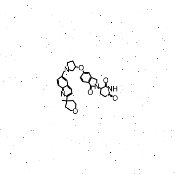 CC1(c2ccc3cc(CN4CCC(Oc5ccc6c(c5)CN(C5CCC(=O)NC5=O)C6=O)C4)ccc3n2)CCOCC1